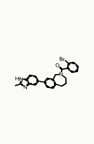 Cc1nc2cc(-c3ccc4c(c3)CN(C(=O)c3ccccc3Br)CCC4)ccc2[nH]1